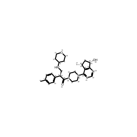 Cc1ccc([C@@H](CNC2CCOCC2)C(=O)N2CCN(c3ncnc4c3[C@H](C)C[C@@H]4O)CC2)cc1